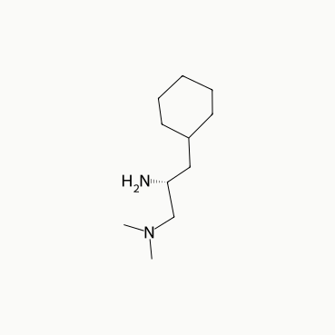 CN(C)C[C@H](N)CC1CCCCC1